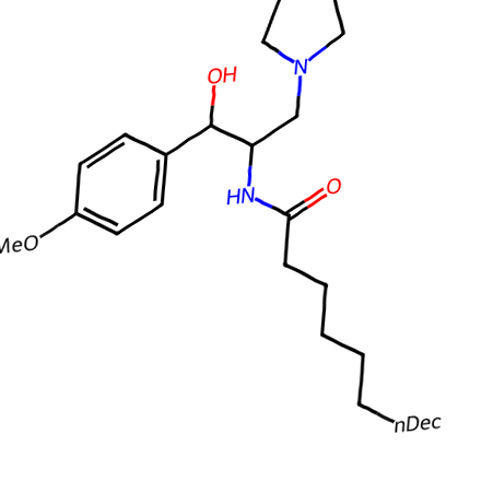 CCCCCCCCCCCCCCCC(=O)NC(CN1CCCC1)C(O)c1ccc(OC)cc1